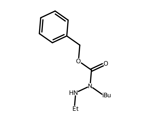 CCNN(C(=O)OCc1ccccc1)C(C)CC